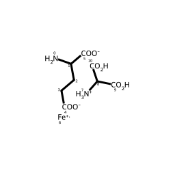 NC(CCC(=O)[O-])C(=O)[O-].[Fe+].[NH3+]C(C(=O)O)C(=O)O